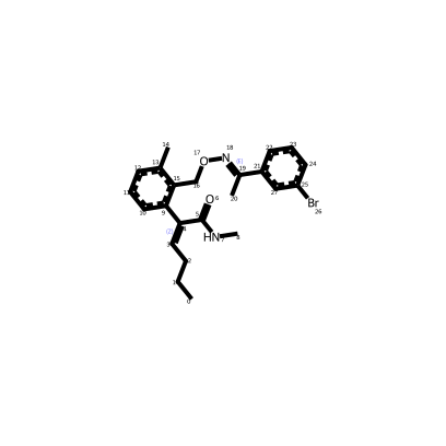 CCC/C=C(\C(=O)NC)c1cccc(C)c1CO/N=C(\C)c1cccc(Br)c1